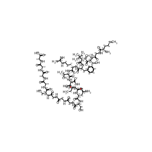 CC[C@H](C)[C@H](NC(=O)[C@@H](NC(=O)[C@@H](NC(=O)[C@H](CCCNC(=N)N)NC(=O)[C@H](Cc1ccccc1)NC(=O)[C@@H](N(C)C(=O)[C@H](CO)NC(=O)CNC(=O)[C@@H](N)CCSC)C(C)(C)C)C(C)C)[C@@H](C)O)C(=O)N[C@@H](CC(N)=O)C(=O)N[C@@H](CO)C(=O)NCC(=O)NCC(=O)NCC(=O)N[C@@H](CO)C(=O)NCC(=O)NCC(=O)NCC(=O)NCC(=O)O